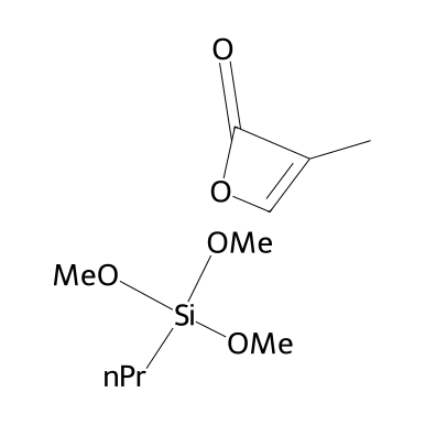 CC1=COC1=O.CCC[Si](OC)(OC)OC